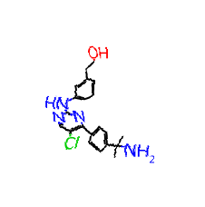 CC(C)(N)c1ccc(-c2nc(Nc3cccc(CCO)c3)ncc2Cl)cc1